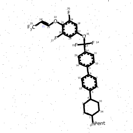 CCCCCC1CCC(c2ccc(-c3ccc(C(F)(F)Oc4cc(F)c(O/C=C/C(F)(F)F)c(F)c4)cc3)cc2)CC1